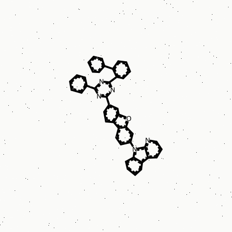 c1ccc(-c2nc(-c3ccc4c(c3)oc3cc(-n5c6ccccc6c6cccnc65)ccc34)nc(-c3ccccc3-c3ccccc3)n2)cc1